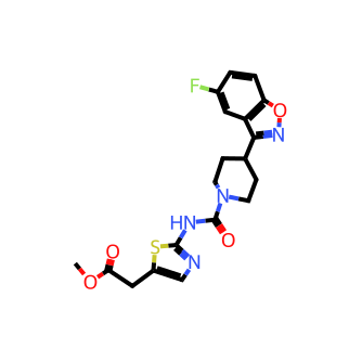 COC(=O)Cc1cnc(NC(=O)N2CCC(c3noc4ccc(F)cc34)CC2)s1